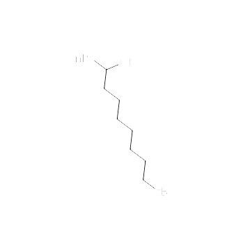 CCCC(O)CCCCCCCC(C)(C)C